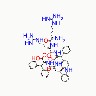 N=C(N)NCCC[C@H](NC(=O)[C@@H](N)CCCNC(=N)N)C(=O)N[C@H](C(=O)N[C@@H](Cc1c[nH]c2ccccc12)C(=O)N[C@H](C(=O)O)C(c1ccccc1)c1ccccc1)C(c1ccccc1)c1ccccc1